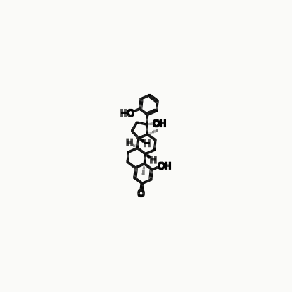 C[C@]12C(O)=CC(=O)C=C1CC[C@@H]1[C@@H]2CC[C@@]2(C)[C@H]1CC[C@@]2(O)c1ccccc1O